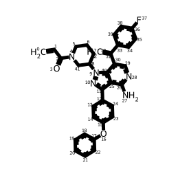 C=CC(=O)N1CCCC(n2nc(-c3ccc(Oc4ccccc4)cc3)c3c(N)ncc(C(=C)c4ccc(F)cc4)c32)C1